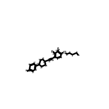 CCCCCOc1ccc(C#CC2CCC(c3ccc(C)cc3)CC2)c(F)c1F